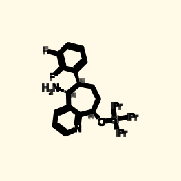 CC(C)[Si](O[C@@H]1CC[C@H](c2cccc(F)c2F)[C@@H](N)c2cccnc21)(C(C)C)C(C)C